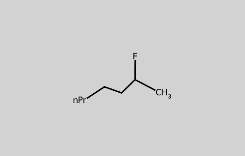 CCCCCC(C)F